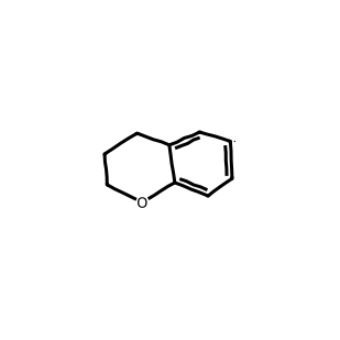 [c]1ccc2c(c1)CCCO2